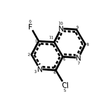 Fc1cnc(Cl)c2nccnc12